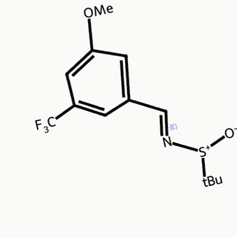 COc1cc(/C=N/[S+]([O-])C(C)(C)C)cc(C(F)(F)F)c1